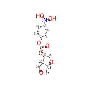 O=C(Oc1ccc(N(O)O)cc1)O[C@H]1COC2COCC21